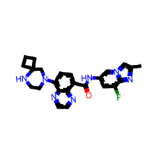 Cc1cn2cc(NC(=O)c3ccc(N4CCNC5(CCC5)C4)c4nccnc34)cc(F)c2n1